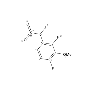 COc1c(F)ccc(C(F)[SH](=O)=O)c1F